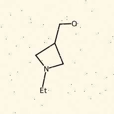 CCN1CC(C[O])C1